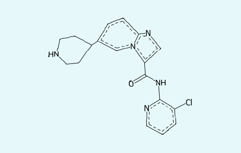 O=C(Nc1ncccc1Cl)c1cnc2ccc(C3CCNCC3)cn12